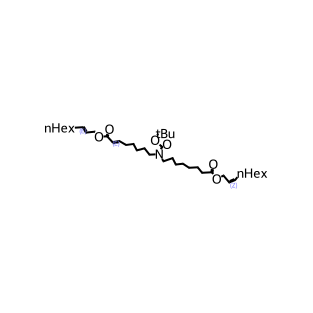 CCCCCC/C=C\COC(=O)CCCCCCCN(CCCCC/C=C/C(=O)OC/C=C/CCCCCC)C(=O)OC(C)(C)C